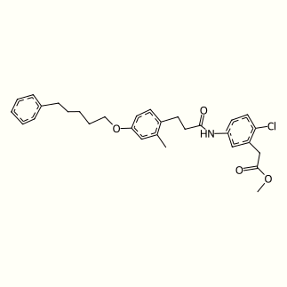 COC(=O)Cc1cc(NC(=O)CCc2ccc(OCCCCCc3ccccc3)cc2C)ccc1Cl